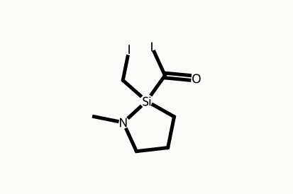 CN1CCC[Si]1(CI)C(=O)I